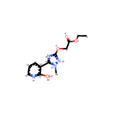 CCOC(=O)COc1nc(-c2cccnc2O)n(C)n1